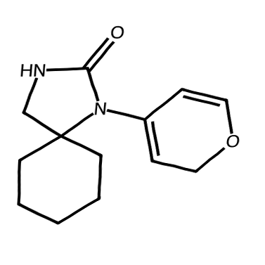 O=C1NCC2(CCCCC2)N1C1=CCOC=C1